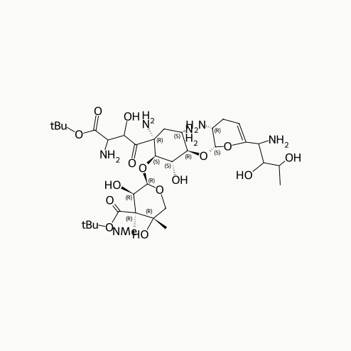 CN[C@]1(C(=O)OC(C)(C)C)[C@@H](O)[C@@H](O[C@@H]2[C@@H](O)[C@H](O[C@H]3OC(C(N)C(O)C(C)O)=CC[C@H]3N)[C@@H](N)C[C@]2(N)C(=O)C(O)C(N)C(=O)OC(C)(C)C)OC[C@]1(C)O